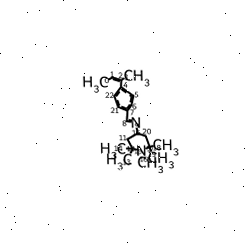 C/C=C(/C)c1ccc(/C=N/C2CC(C)(C)N(C)C(C)(C)C2)cc1